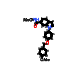 CONC(=O)c1ccc2ccn(-c3ccc(OCc4ccc(OC)cc4)cc3)c2c1